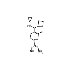 N=C/C(=C\N)c1ccc(C(NC2CC2)C2CCC2)c(Cl)c1